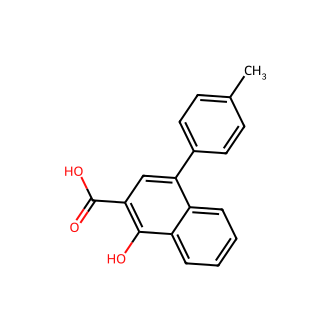 Cc1ccc(-c2cc(C(=O)O)c(O)c3ccccc23)cc1